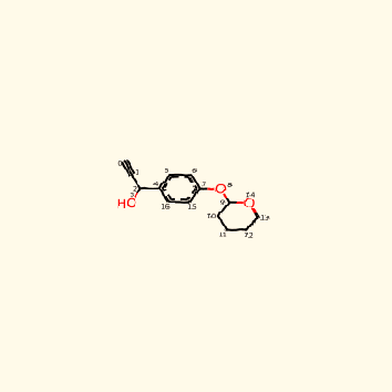 C#CC(O)c1ccc(OC2CCCCO2)cc1